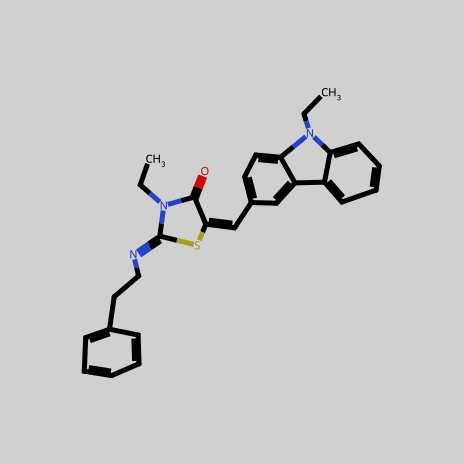 CCN1C(=O)/C(=C\c2ccc3c(c2)c2ccccc2n3CC)SC1=NCCc1ccccc1